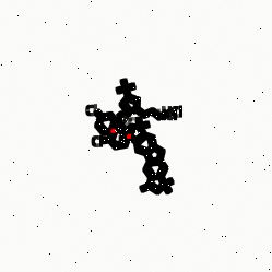 Cl.Cl.[CH2]=[Zr]([C]1=CC(C(C)(C)C)=CC1CCCC)([C]1=C(C)c2cc3c(cc2C1(C)C)Cc1cc2c(cc1-3)C(C)=CC2(C)C)([c]1cccc(Cl)c1)[c]1cccc(Cl)c1